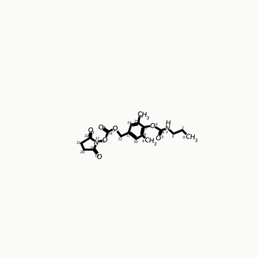 CCCNC(=O)Oc1c(C)cc(COC(=O)ON2C(=O)CCC2=O)cc1C